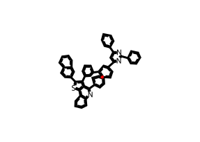 c1ccc(-c2cc(-c3cccc(-c4cccc(-c5c(-c6ccc7ccccc7c6)sc6c5c(-c5ccccc5)nc5ccccc56)c4)c3)nc(-c3ccccc3)n2)cc1